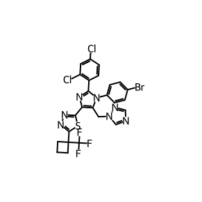 FC(F)(F)C1(c2nnc(-c3nc(-c4ccc(Cl)cc4Cl)n(-c4ccc(Br)cc4)c3Cn3cncn3)s2)CCC1